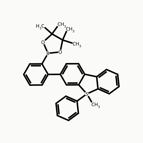 CC1(C)OB(c2ccccc2-c2ccc3c(c2)S(C)(c2ccccc2)c2ccccc2-3)OC1(C)C